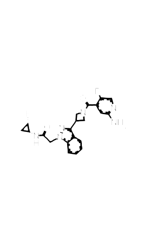 Nc1cc(C(=O)N2CC(c3nn(CC(=O)N[C@@H]4C[C@@H]4F)c4ccccc34)C2)c(F)cn1